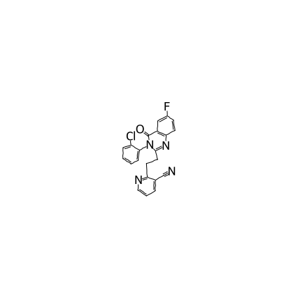 N#Cc1cccnc1CCc1nc2ccc(F)cc2c(=O)n1-c1ccccc1Cl